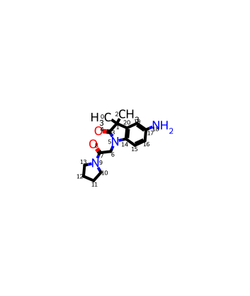 CC1(C)C(=O)N(CC(=O)N2CCCC2)c2ccc(N)cc21